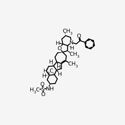 CC1=C2C[C@H]3[C@@H](CC[C@@H]4C[C@H](NS(C)(=O)=O)CC[C@@]43C)[C@@H]2CC[C@@]2(C1)O[C@@H]1C[C@H](C)CN(CC(=O)c3ccccc3)[C@H]1[C@H]2C